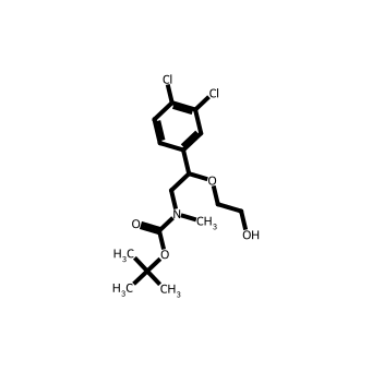 CN(CC(OCCO)c1ccc(Cl)c(Cl)c1)C(=O)OC(C)(C)C